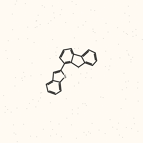 [CH]1c2ccccc2-c2cccc(-c3cc4ccccc4s3)c21